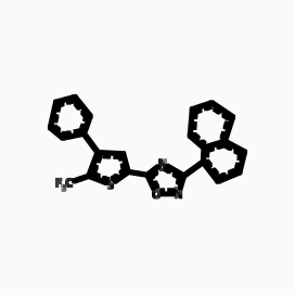 FC(F)(F)c1sc(-c2nc(-c3cccc4ccccc34)no2)cc1-c1ccccc1